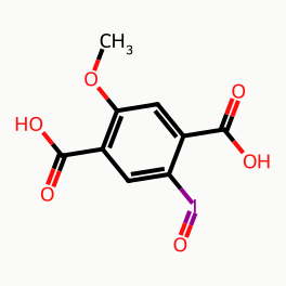 COc1cc(C(=O)O)c(I=O)cc1C(=O)O